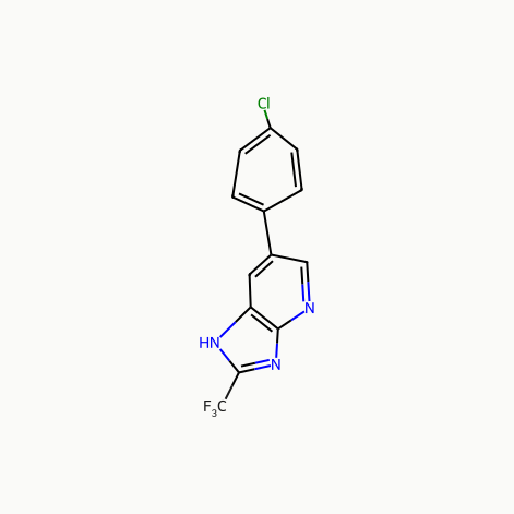 FC(F)(F)c1nc2ncc(-c3ccc(Cl)cc3)cc2[nH]1